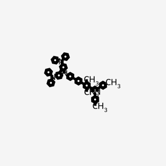 Cc1ccc(-c2cc(-c3cc(C)c(-c4ccc(-c5ccc(-n6c7ccc(N(c8ccccc8)c8ccccc8)cc7c7cc(N(c8ccccc8)c8ccccc8)ccc76)cc5)cc4)cc3C)nc(-c3ccc(C)cc3)n2)cc1